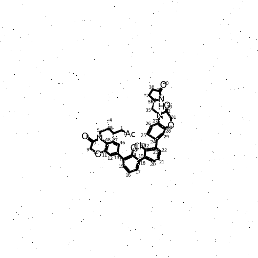 CC(=O)CC[C@@H](C)CN1C(=O)COc2cc(-c3cccc(-c4cccc(-c5ccc6c(c5)OCC(=O)N6C[C@H]5CCC(=O)N5)c4Cl)c3Cl)ccc21